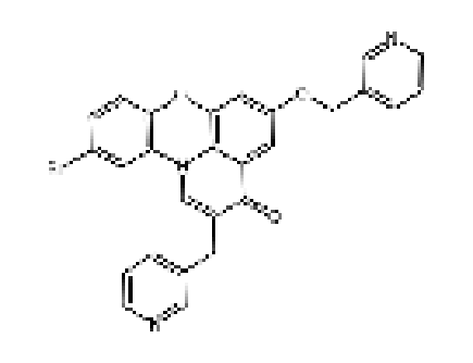 O=c1c(Cc2cccnc2)cn2c3c(cc(OCc4cccnc4)cc13)Oc1ccc(Br)cc1-2